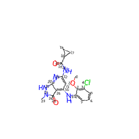 COc1c(Cl)cccc1Nc1cc(NC(=O)C2CC2)nc2[nH]n(C)c(=O)c12